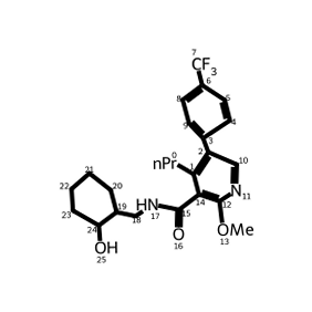 CCCc1c(-c2ccc(C(F)(F)F)cc2)cnc(OC)c1C(=O)NCC1CCCCC1O